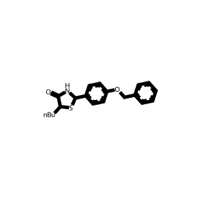 CCCCC1SC(c2ccc(OCc3ccccc3)cc2)NC1=O